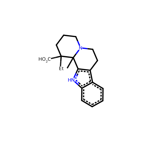 CCC1(C(=O)O)CCCN2CCc3c([nH]c4ccccc34)C21C